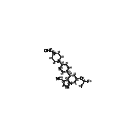 N#Cc1cnn2cc(OC(F)F)cc(-c3ccc(N4CCN(C=O)CC4)nc3)c12